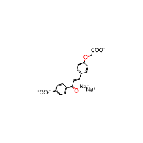 O=C([O-])COc1ccc(C=CC(=O)c2ccc(C(=O)[O-])cc2)cc1.[Na+].[Na+]